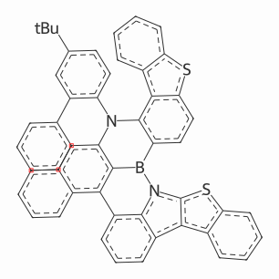 CC(C)(C)c1ccc(N2c3cc4ccccc4c4c3B(c3ccc5sc6ccccc6c5c32)n2c3sc5ccccc5c3c3cccc-4c32)c(-c2ccccc2)c1